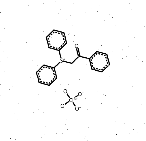 O=C(C[S+](c1ccccc1)c1ccccc1)c1ccccc1.[O-][Cl+3]([O-])([O-])[O-]